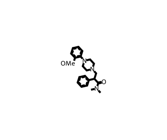 COc1ccccc1N1CCN(CC(C(=O)N(C)C)c2ccccc2)CC1